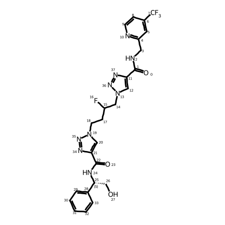 O=C(NCc1cc(C(F)(F)F)ccn1)c1cn(CC(F)CCn2cc(C(=O)N[C@H](CO)c3ccccc3)nn2)nn1